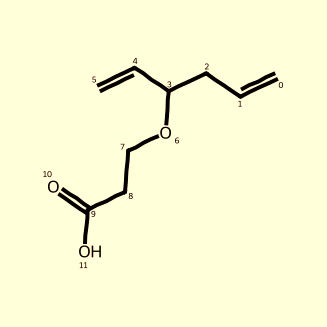 C=CCC(C=C)OCCC(=O)O